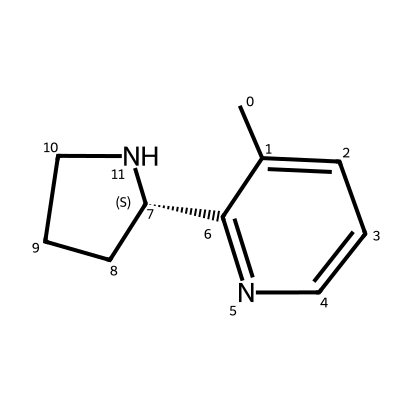 Cc1cccnc1[C@@H]1CCCN1